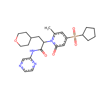 Cc1cc(S(=O)(=O)C2CCCC2)cc(=O)n1C(CC1CCOCC1)C(=O)Nc1cnccn1